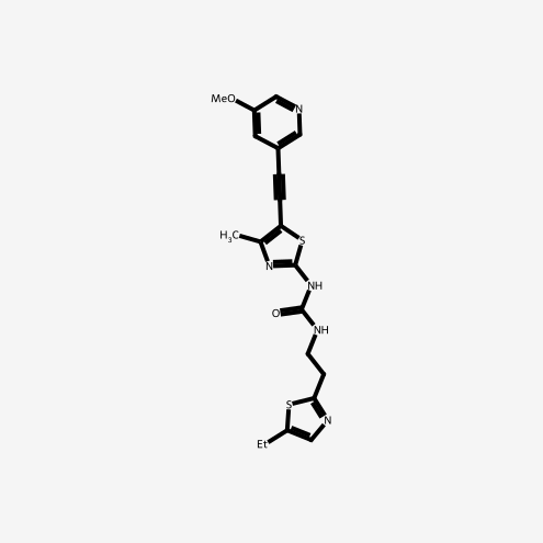 CCc1cnc(CCNC(=O)Nc2nc(C)c(C#Cc3cncc(OC)c3)s2)s1